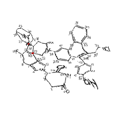 O=C1CCC(n2cc3cc(F)c(N4CC5CC(C4)N5CC4CCN(c5ccc(C(=C(CCCl)c6ccccc6)c6ccc(O)cc6)cc5)CC4)cc3c2)C(=O)N1